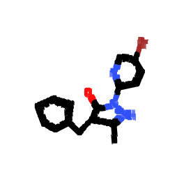 Cc1[nH]n(-c2ccc(Br)cn2)c(=O)c1Cc1ccccc1